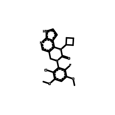 COc1cc(OC)c(Cl)c(N2Cc3cnc4[nH]ccc4c3N(C3CCC3)C2=O)c1F